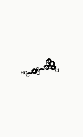 O=C(O)CCc1ccc(OCCCN2CCC(=C3c4ccc(Cl)cc4CCc4cccnc43)CC2)c(Cl)c1